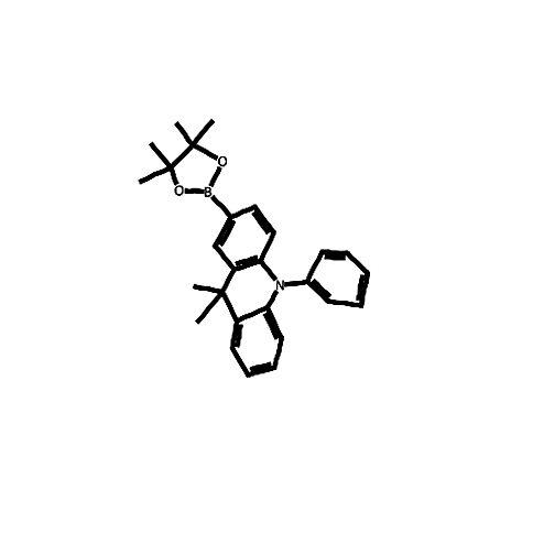 CC1(C)c2ccccc2N(c2ccccc2)c2ccc(B3OC(C)(C)C(C)(C)O3)cc21